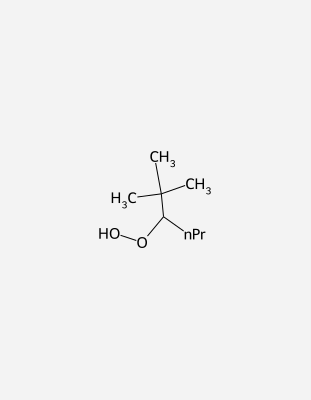 [CH2]CCC(OO)C(C)(C)C